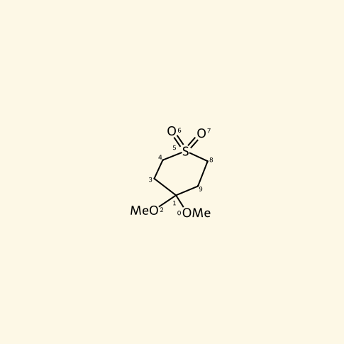 COC1(OC)CCS(=O)(=O)CC1